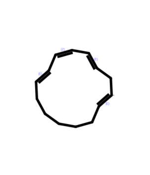 [C]1=C/CCCCC/C=C/C=C\C=C\C/1